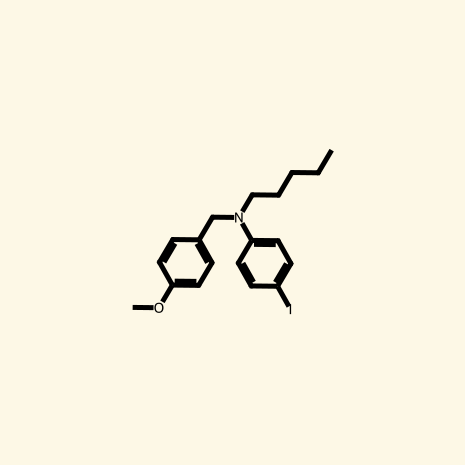 CCCCCN(Cc1ccc(OC)cc1)c1ccc(I)cc1